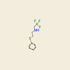 FC(F)(F)CNCCSc1cc[c]cc1